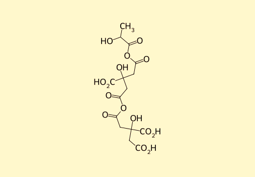 CC(O)C(=O)OC(=O)CC(O)(CC(=O)OC(=O)CC(O)(CC(=O)O)C(=O)O)C(=O)O